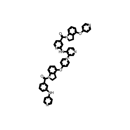 O=C(c1cccc(Nc2ccncc2)c1)N1CCc2c(Oc3cc[n+](-c4cnccc4Nc4cc(C(=O)N5CCc6c(Oc7ccncc7)cccc65)ccn4)cc3)cccc21